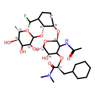 CC(=O)NC1C(O[C@@H](CC2CCCCC2)C(=O)N(C)C)[C@H](O)[C@H](C)O[C@H]1O[C@@H]1CCCC(C(F)F)[C@H]1OC1O[C@@H](C)[C@H](O)C(O)[C@@H]1O